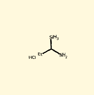 CCC(N)[SiH3].Cl